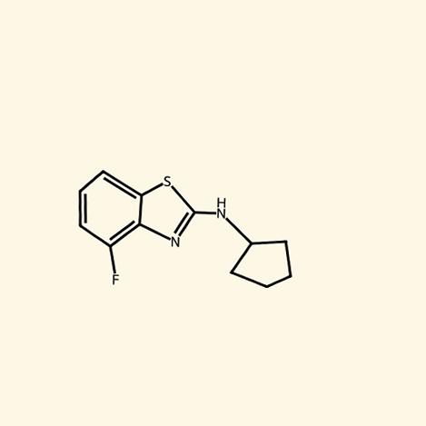 Fc1cccc2sc(NC3CCCC3)nc12